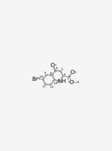 COC(=O)c1cc(=O)c2cc(Br)ccc2[nH]1